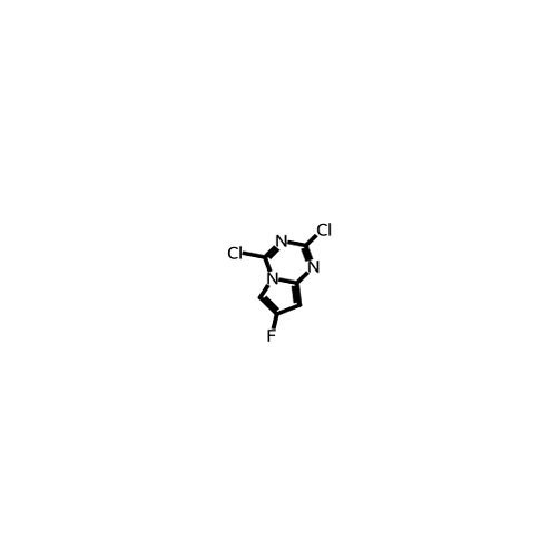 Fc1cc2nc(Cl)nc(Cl)n2c1